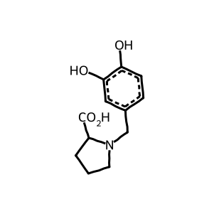 O=C(O)C1CCCN1Cc1ccc(O)c(O)c1